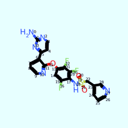 Nc1nccc(-c2cccnc2Oc2cc(F)c(NS(=O)(=O)Cc3cccnc3)c(F)c2F)n1